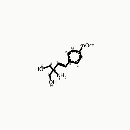 CCCCCCCCc1ccc(C=CC(N)(CO)CO)cc1